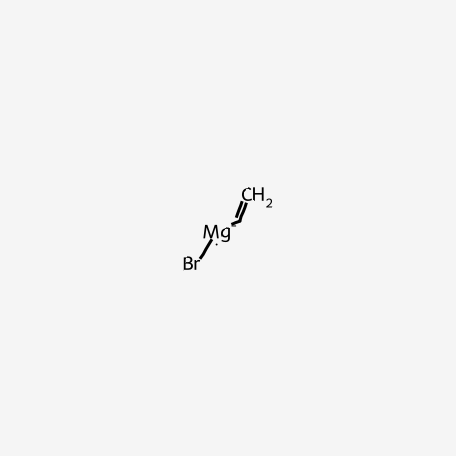 C=[CH][Mg-][Br]